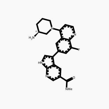 CNC(=O)c1cnc2[nH]cc(-c3cc(F)c4nccc(N5CCC[C@H](N)C5)c4c3)c2c1